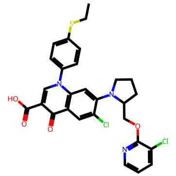 CCSc1ccc(-n2cc(C(=O)O)c(=O)c3cc(Cl)c(N4CCCC4COc4ncccc4Cl)cc32)cc1